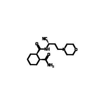 N#C[C@H](CCN1CCOCC1)NC(=O)[C@@H]1CCCC[C@@H]1C(N)=O